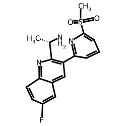 C[C@H](N)c1nc2ccc(F)cc2cc1-c1cccc(S(C)(=O)=O)n1